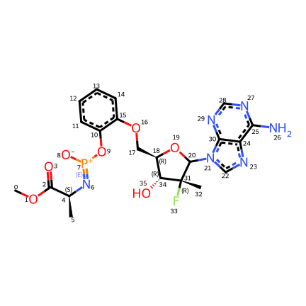 COC(=O)[C@H](C)/N=[P+](\[O-])Oc1ccccc1OC[C@H]1OC(n2cnc3c(N)ncnc32)[C@](C)(F)[C@@H]1O